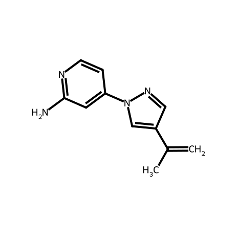 C=C(C)c1cnn(-c2ccnc(N)c2)c1